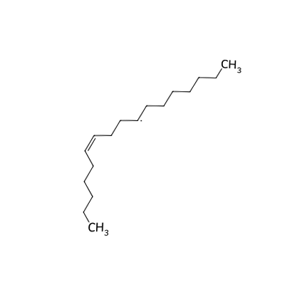 CCCCC/C=C\CC[CH]CCCCCCC